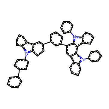 c1ccc(-c2ccc(-n3c4ccccc4c4cc(-c5cccc(-c6cc7c8ccccc8n(-c8ccccc8)c7c7c8ccccc8n(-c8ccccc8)c67)c5)ccc43)cc2)cc1